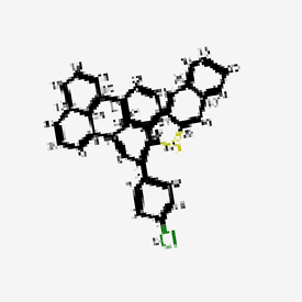 Clc1ccc(-c2cc(-c3cccc4cccc(-c5ccccc5)c34)cc3c2sc2cc4ccccc4cc23)cc1